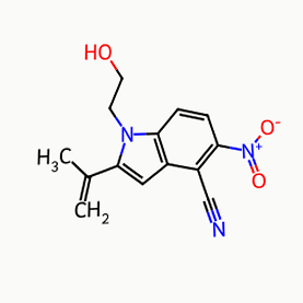 C=C(C)c1cc2c(C#N)c([N+](=O)[O-])ccc2n1CCO